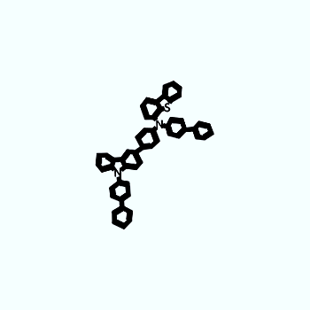 c1ccc(-c2ccc(N(c3ccc(-c4ccc5c(c4)c4ccccc4n5-c4ccc(-c5ccccc5)cc4)cc3)c3cccc4c3sc3ccccc34)cc2)cc1